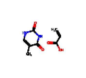 C=CC(=O)O.Cc1c[nH]c(=O)[nH]c1=O